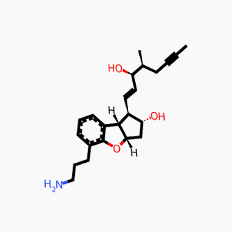 CC#CC[C@H](C)[C@H](O)/C=C/[C@@H]1[C@H]2c3cccc(CCCN)c3O[C@H]2C[C@H]1O